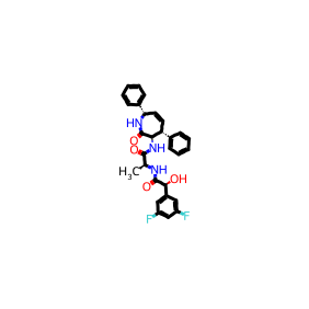 C[C@H](NC(=O)[C@@H](O)c1cc(F)cc(F)c1)C(=O)N[C@@H]1C(=O)N[C@H](c2ccccc2)C=C[C@@H]1c1ccccc1